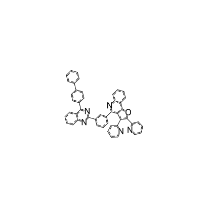 c1ccc(-c2ccc(-c3nc(-c4cccc(-c5nc6ccccc6c6oc(-c7ccccn7)c(-c7ccccn7)c56)c4)nc4ccccc34)cc2)cc1